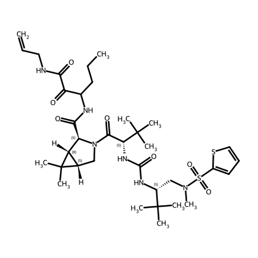 C=CCNC(=O)C(=O)C(CCC)NC(=O)[C@@H]1[C@@H]2[C@H](CN1C(=O)[C@@H](NC(=O)N[C@H](CN(C)S(=O)(=O)c1cccs1)C(C)(C)C)C(C)(C)C)C2(C)C